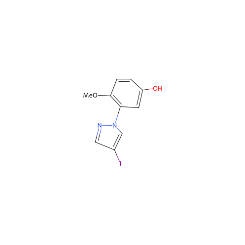 COc1ccc(O)cc1-n1cc(I)cn1